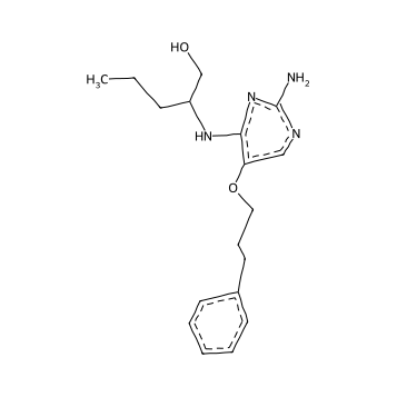 CCCC(CO)Nc1nc(N)ncc1OCCCc1ccccc1